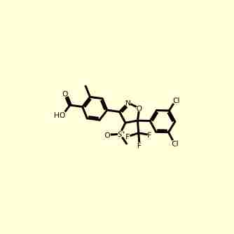 Cc1cc(C2=NOC(c3cc(Cl)cc(Cl)c3)(C(F)(F)F)C2[S+](C)[O-])ccc1C(=O)O